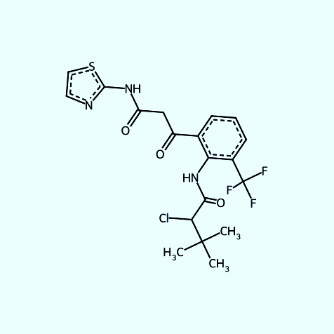 CC(C)(C)C(Cl)C(=O)Nc1c(C(=O)CC(=O)Nc2nccs2)cccc1C(F)(F)F